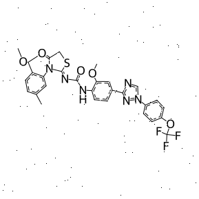 COc1cc(-c2ncn(-c3ccc(OC(F)(F)F)cc3)n2)ccc1NC(=O)N=C1SCC(=O)N1c1cc(C)ccc1C(C)OC